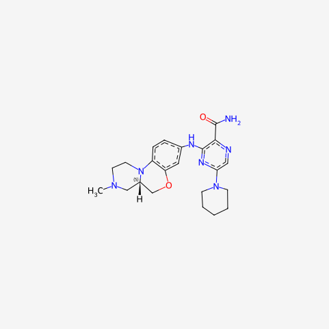 CN1CCN2c3ccc(Nc4nc(N5CCCCC5)cnc4C(N)=O)cc3OC[C@@H]2C1